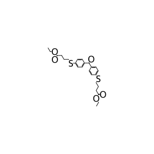 CCOC(=O)CCCSc1ccc(C(=O)c2ccc(SCCCC(=O)OCC)cc2)cc1